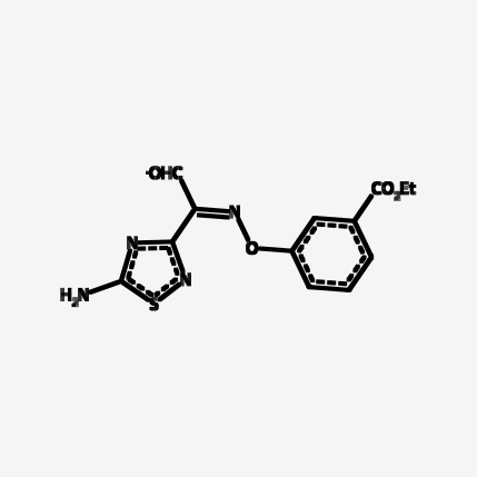 CCOC(=O)c1cccc(O/N=C(/[C]=O)c2nsc(N)n2)c1